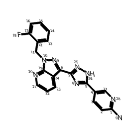 Nc1ccc(-c2nc(-c3nn(Cc4ccccc4F)c4ncccc34)n[nH]2)cn1